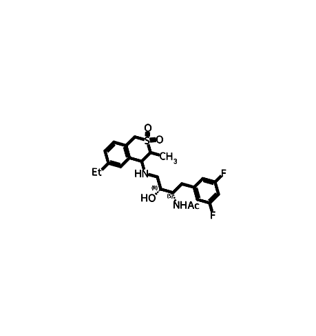 CCc1ccc2c(c1)C(NC[C@@H](O)[C@H](Cc1cc(F)cc(F)c1)NC(C)=O)C(C)S(=O)(=O)C2